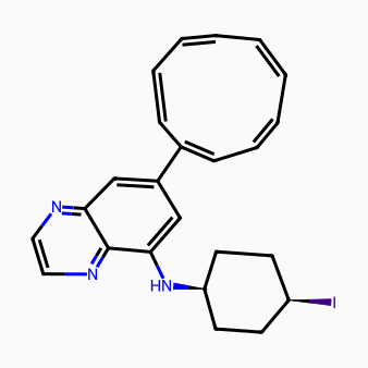 I[C@H]1CC[C@@H](Nc2cc(-c3ccccccccc3)cc3nccnc23)CC1